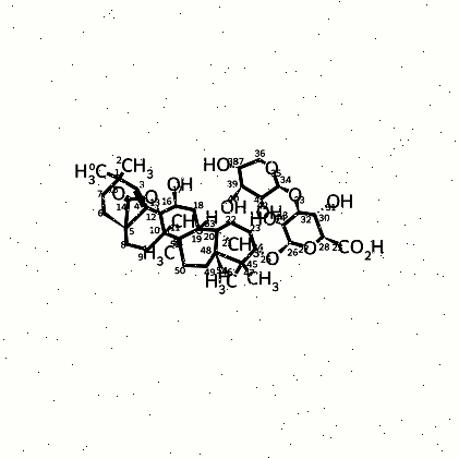 CC1(C)C=C2[C@]3(CC1)CC[C@]1(C)[C@]2(OC3=O)[C@@H](O)C[C@@H]2[C@@]3(C)CC[C@H](O[C@@H]4O[C@H](C(=O)O)[C@@H](O)[C@H](O[C@@H]5OC[C@@H](O)[C@H](O)[C@H]5O)[C@H]4O)C(C)(C)[C@@H]3CC[C@]21C